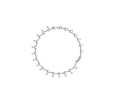 C1=C/CCCCCCCCCCCCCCCCCCCCCCC/1